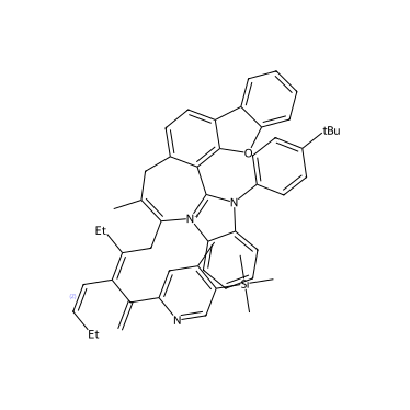 C=C(C(/C=C\CC)=C(CC)CC1=C(C)Cc2ccc3c(oc4ccccc43)c2-c2n(-c3ccc(C(C)(C)C)cc3)c3ccccc3[n+]21)c1cc(C)c([Si](C)(C)C)cn1